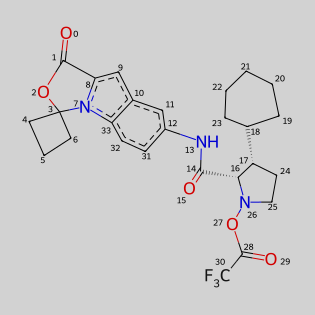 O=C1OC2(CCC2)n2c1cc1cc(NC(=O)[C@@H]3[C@H](C4CCCCC4)CCN3OC(=O)C(F)(F)F)ccc12